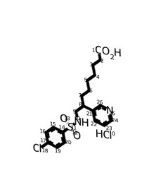 Cl.O=C(O)CCCCCCC(CNS(=O)(=O)c1ccc(Cl)cc1)c1cccnc1